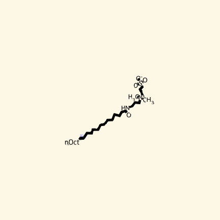 CCCCCCCC/C=C/CCCCCCCCCCCC(=O)NCCC[N+](C)(C)CCCS(=O)(=O)[O-]